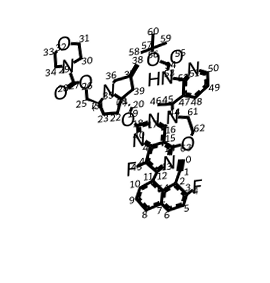 C#Cc1c(F)ccc2cccc(-c3nc4c5c(nc(OC[C@]67CC[C@@H](COC(=O)N8CCOCC8)N6CC(=C)C7)nc5c3F)N(C(C)c3cccnc3NC(=O)OC(C)(C)C)CCO4)c12